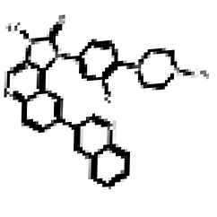 CN1CCN(c2ccc(-n3c(=O)n(C)c4cnc5ccc(-c6cnc7ccccc7c6)cc5c43)cc2Cl)CC1